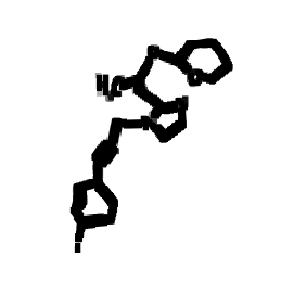 CC(OC1CCCCO1)c1nccn1CC#Cc1ccc(I)cc1